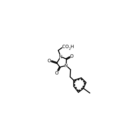 Cc1ccc(CCN2C(=O)C(=O)N(CC(=O)O)C2=O)cc1